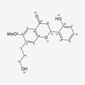 COc1cc2c(cc1CCCO)OC(c1ccccc1O)CC2=O